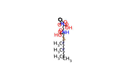 CC(C)=CCC/C(C)=C/CC/C(C)=C/CSCC[C@H](NC(=O)CCC(C(=O)O)N1C(=O)c2ccccc2C1=O)C(=O)O